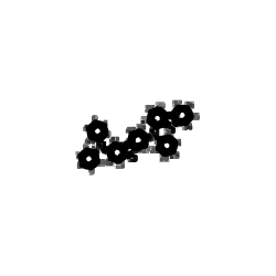 c1ccc(N(c2ccccc2)c2ccc3sc4cc(N(c5ccccc5)c5cccc6c5sc5ccccc56)ccc4c3c2)cc1